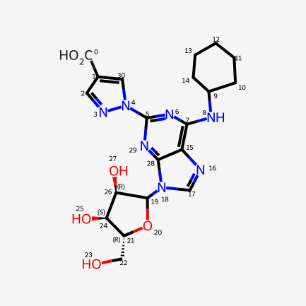 O=C(O)c1cnn(-c2nc(NC3CCCCC3)c3ncn(C4O[C@H](CO)[C@@H](O)[C@H]4O)c3n2)c1